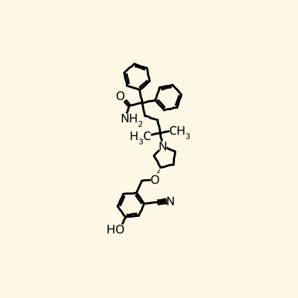 CC(C)(CCC(C(N)=O)(c1ccccc1)c1ccccc1)N1CC[C@H](OCc2ccc(O)cc2C#N)C1